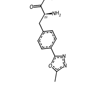 Cc1nnc(-c2ccc(C[C@H](N)C(N)=O)cc2)o1